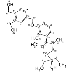 CCC(O)(CC)c1cc(C)c(-c2cccc(OCc3ccc(CO)c(CO)c3)c2C)c(C)c1